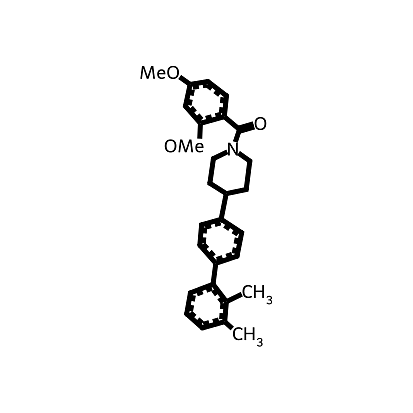 COc1ccc(C(=O)N2CCC(c3ccc(-c4cccc(C)c4C)cc3)CC2)c(OC)c1